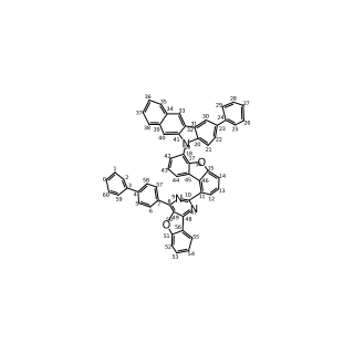 c1ccc(-c2ccc(-c3nc(-c4cccc5oc6c(-n7c8ccc(-c9ccccc9)cc8c8cc9ccccc9cc87)cccc6c45)nc4c3oc3ccccc34)cc2)cc1